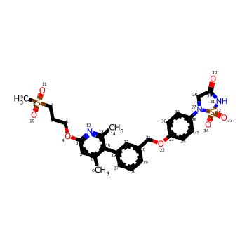 Cc1cc(OCCCS(C)(=O)=O)nc(C)c1-c1cccc(COc2ccc(N3CC(=O)NS3(=O)=O)cc2)c1